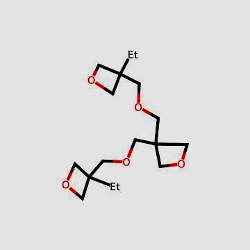 CCC1(COCC2(COCC3(CC)COC3)COC2)COC1